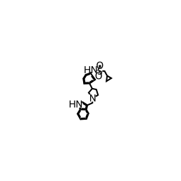 O=S(=O)(CC1CC1)Nc1cccc(C2CCN(Cc3c[nH]c4ccccc34)C2)c1